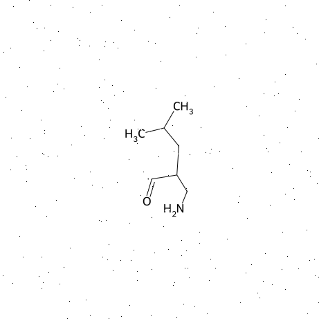 CC(C)CC([C]=O)CN